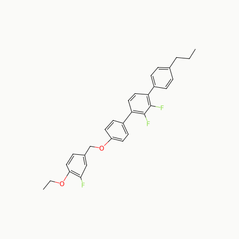 CCCc1ccc(-c2ccc(-c3ccc(OCc4ccc(OCC)c(F)c4)cc3)c(F)c2F)cc1